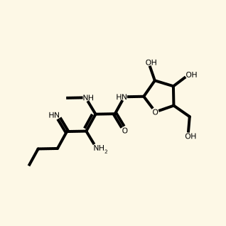 CCCC(=N)/C(N)=C(\NC)C(=O)NC1OC(CO)C(O)C1O